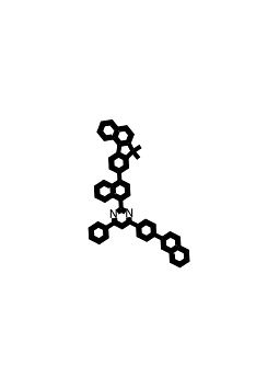 CC1(C)c2cc(-c3ccc(-c4nc(-c5ccccc5)cc(-c5ccc(-c6ccc7ccccc7c6)cc5)n4)c4ccccc34)ccc2-c2c1ccc1ccccc21